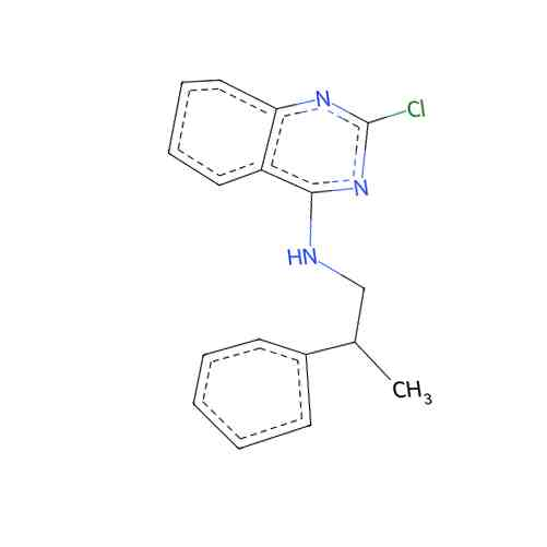 CC(CNc1nc(Cl)nc2ccccc12)c1ccccc1